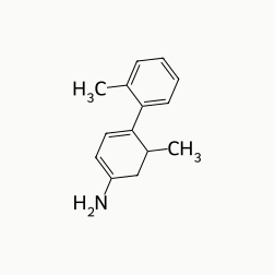 Cc1ccccc1C1=CC=C(N)CC1C